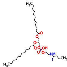 CCCCCCCCCCCC(=O)OC[C@H](COP(=O)(O)OCCN[C@H](I)CCC)OC(=O)CCCCCCCCCCC